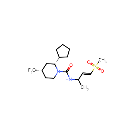 CC(/C=C/S(C)(=O)=O)NC(=O)N1CC[C@H](C(F)(F)F)C[C@@H]1C1CCCC1